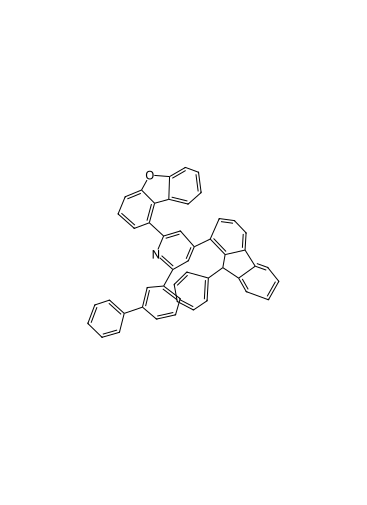 c1ccc(-c2cccc(-c3cc(-c4cccc5c4C(c4ccccc4)c4ccccc4-5)cc(-c4cccc5oc6ccccc6c45)n3)c2)cc1